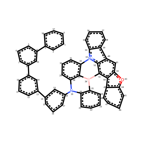 c1ccc(-c2cccc(-c3cccc(-c4cccc(N5c6ccccc6B6c7c5cccc7-n5c7ccccc7c7cc8oc9ccccc9c8c6c75)c4)c3)c2)cc1